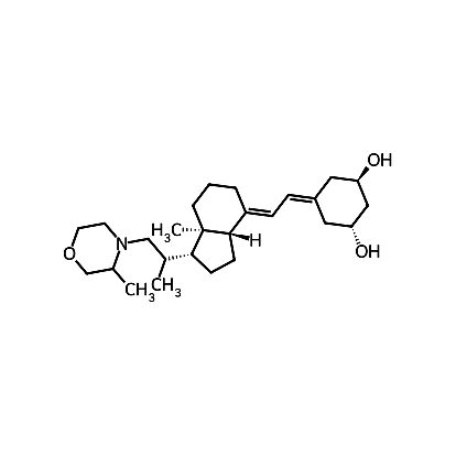 CC(CN1CCOCC1C)[C@H]1CC[C@H]2C(=CC=C3C[C@@H](O)C[C@H](O)C3)CCC[C@]12C